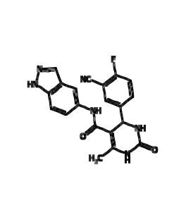 CC1=C(C(=O)Nc2ccc3[nH]ncc3c2)C(c2ccc(F)c(C#N)c2)NC(=O)N1